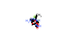 C=C(N)c1cc(N/C(=C\C(=C\CC)C(F)(F)F)C(=O)Nc2cc(C(CCC3CC3)n3ccc(=O)[nH]c3=O)ccc2F)ccc1/C=C\C